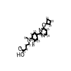 CN(CCCC(=O)O)c1ccc(-c2nccc(OC3CCC3)n2)cc1F